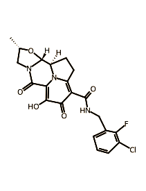 C[C@H]1CN2C(=O)c3c(O)c(=O)c(C(=O)NCc4cccc(Cl)c4F)c4n3[C@H](CC4)[C@H]2O1